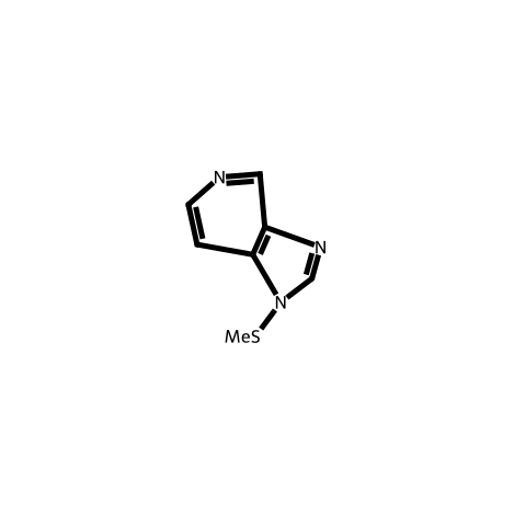 CSn1cnc2cnccc21